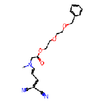 CN(/C=C/C=C(C#N)C#N)CC(=O)OCCOCCOCc1ccccc1